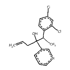 C=CCC(O)(c1cccnc1)C(C)c1ccc(Cl)cc1Cl